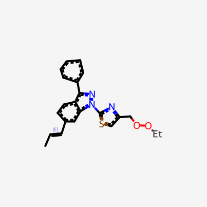 C/C=C/c1ccc2c(-c3ccccc3)nn(-c3nc(COOCC)cs3)c2c1